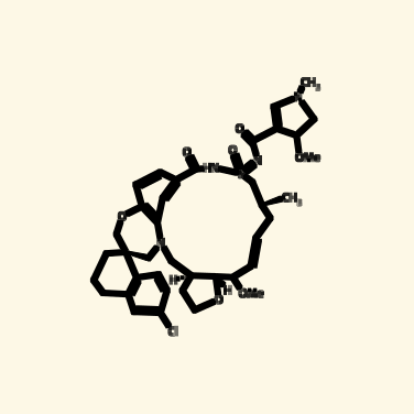 COC1CN(C)C=C1C(=O)N=S1(=O)C[C@@H](C)C/C=C/C(OC)[C@@H]2OCC[C@H]2CN2C[C@@]3(CCCc4cc(Cl)ccc43)COc3ccc(cc32)C(=O)N1